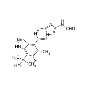 Cc1c(F)c(C(C)(C)O)c2[nH]ncc2c1-c1cn2cc(NC=O)nc2cn1